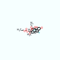 CCCOC(=O)OCC(=O)[C@@]1(OC(=O)OCC)[C@H](C)C[C@H]2[C@@H]3C[C@H](F)C4=CC(=O)C=C[C@]4(C)[C@@]3(F)[C@@H](O)C[C@@]21C